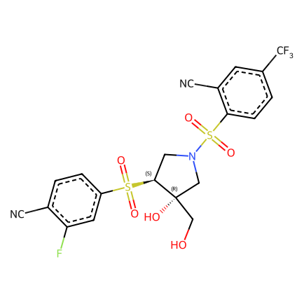 N#Cc1ccc(S(=O)(=O)[C@H]2CN(S(=O)(=O)c3ccc(C(F)(F)F)cc3C#N)C[C@@]2(O)CO)cc1F